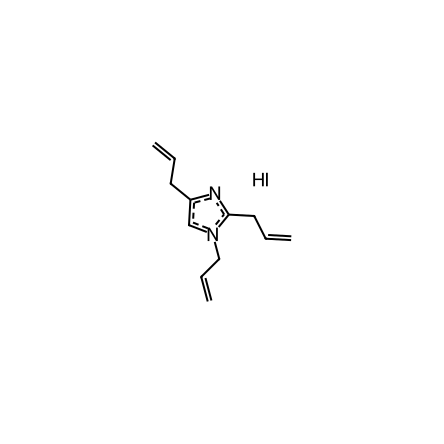 C=CCc1cn(CC=C)c(CC=C)n1.I